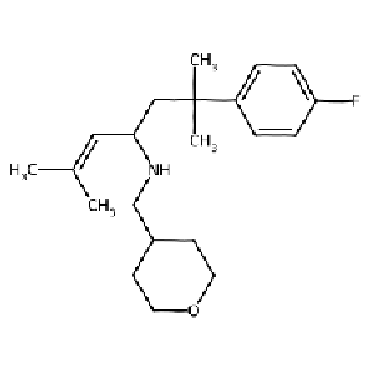 CC(C)=CC(CC(C)(C)c1ccc(F)cc1)NCC1CCOCC1